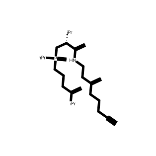 C#CCCCC(=C)CCNC(=C)[C@H](CP(=C)(CCC)CCCC(=C)C(C)C)C(C)C